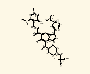 COc1cc(C)[nH]c(=O)c1CNC(=O)c1cc2c(-c3ccnc(N(C)C)c3)ccn2c(C(C)C2CCN(CC(F)(F)F)CC2)c1C